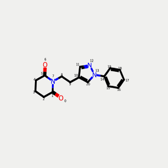 O=C1CCCC(=O)N1CCc1cnn(-c2ccccc2)c1